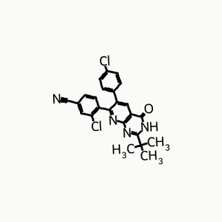 CC(C)(C)c1nc2nc(-c3ccc(C#N)cc3Cl)c(-c3ccc(Cl)cc3)cc2c(=O)[nH]1